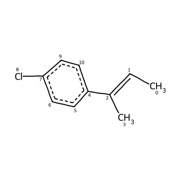 CC=C(C)c1ccc(Cl)cc1